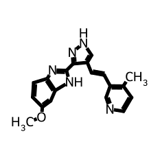 COc1ccc2nc(-c3n[nH]cc3/C=C/c3cnccc3C)[nH]c2c1